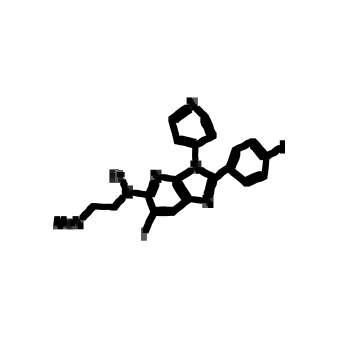 CCN(CCNC)c1nc2c(cc1I)nc(-c1ccc(I)cc1)n2-c1ccncc1